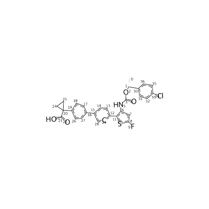 C[C@@H](OC(=O)Nc1cc(F)sc1-c1ccc(-c2ccc(C3(C(=O)O)CC3)cc2)cc1)c1ccc(Cl)cc1